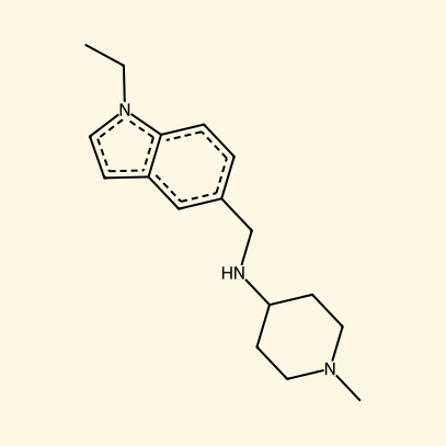 CCn1ccc2cc(CNC3CCN(C)CC3)ccc21